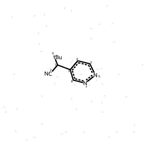 CC(C)(C)C(C#N)c1ccnnc1